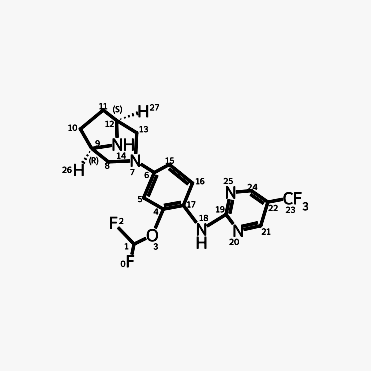 FC(F)Oc1cc(N2C[C@H]3CC[C@@H](C2)N3)ccc1Nc1ncc(C(F)(F)F)cn1